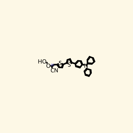 N#C/C(=C\c1ccc(-c2ccc(-c3ccc(N(c4ccccc4)c4ccccc4)cc3)s2)s1)OCO